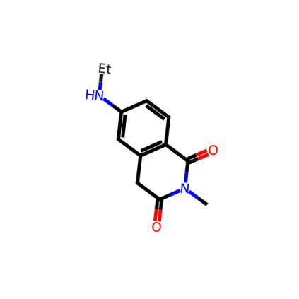 CCNc1ccc2c(c1)CC(=O)N(C)C2=O